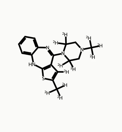 [2H]c1c(C([2H])([2H])[2H])sc2c1C(N1C([2H])([2H])CN(C([2H])([2H])[2H])CC1([2H])[2H])=Nc1ccccc1N2